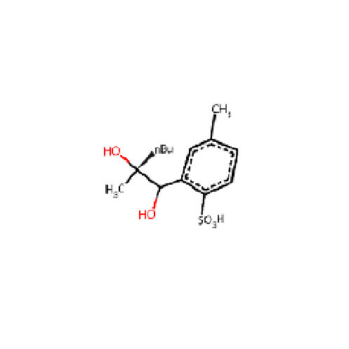 CCCC[C@@](C)(O)C(O)c1cc(C)ccc1S(=O)(=O)O